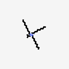 CCCCCCCCCC[N+](CCCCCCCCCC)(CCCCCCCCCC)CC(C)C